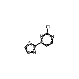 Clc1nccc(-c2nccs2)n1